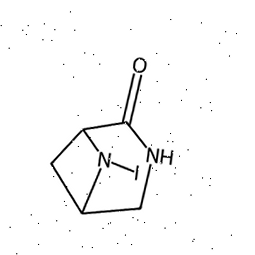 O=C1NCC2CC1N2I